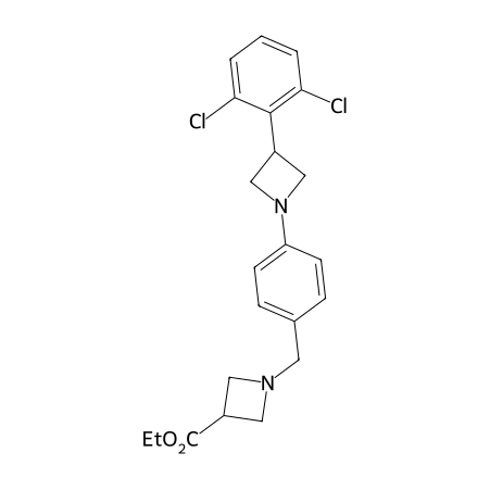 CCOC(=O)C1CN(Cc2ccc(N3CC(c4c(Cl)cccc4Cl)C3)cc2)C1